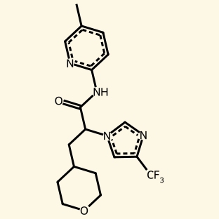 Cc1ccc(NC(=O)C(CC2CCOCC2)n2cnc(C(F)(F)F)c2)nc1